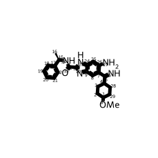 COC1CCC(C(=N)c2cc3nc(C(=O)N[C@H](C)c4ccccc4)[nH]c3cc2N)CC1